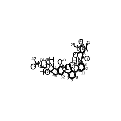 COc1nc(-c2cccc(-c3cccc(NC(=O)c4cn(C)c(=O)n(C)c4=O)c3Cl)c2Cl)cc2c1C(NC1CCN(C(C)=O)CC1)C(O)C2